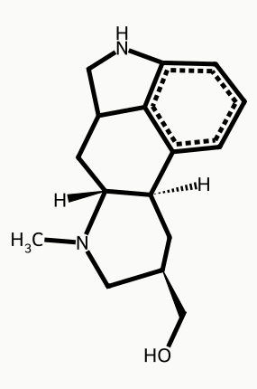 CN1C[C@H](CO)C[C@@H]2c3cccc4c3C(CN4)C[C@H]21